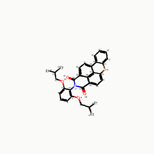 CCC(CC)COc1cccc(OCC(CC)CC)c1-n1c(=O)c2ccc3sc4ccccc4c4ccc(c1=O)c2c34